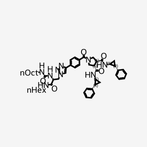 CCCCCCCCNC(=O)NC(Cn1cc(-c2ccc(C(=O)N3C[C@@H](C(=O)N[C@H]4C[C@@H]4c4ccccc4)[C@H](C(=O)N[C@H]4C[C@@H]4c4ccccc4)C3)cc2)nn1)C(=O)NCCCCCC